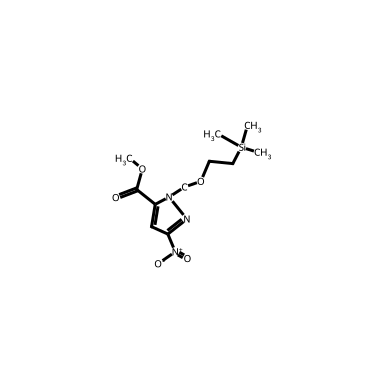 COC(=O)c1cc([N+](=O)[O-])nn1COCC[Si](C)(C)C